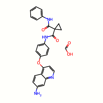 Nc1ccc2c(Oc3ccc(NC(=O)C4(C(=O)Nc5ccccc5)CC4)cc3)ccnc2c1.O=CO